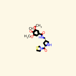 COc1cc(C(=O)NC[C@@H]2CN[C@H](C(=O)N3CCSC3)C2)cc(OC)c1OC